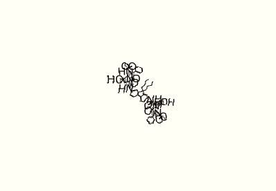 CCCCC1(CCCC)c2cc(NC(=O)[C@@H]3C[C@@H](O)CN3C(=O)[C@H](NC(=O)OC)c3ccccc3)ccc2-c2ccc(NC(=O)[C@@H]3C[C@@H](O)CN3C(=O)[C@H](NC(=O)OC)c3ccccc3)cc21